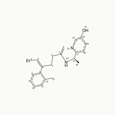 C=C(CC/C(=C/CC)c1ccccc1C)N[C@H](C)c1ccc(O)cn1